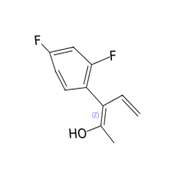 C=C/C(=C(\C)O)c1ccc(F)cc1F